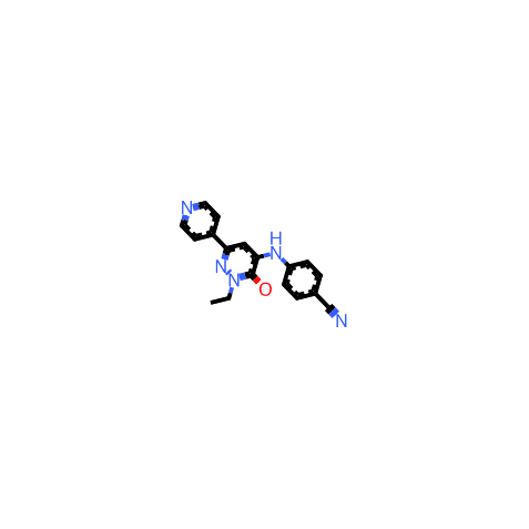 CCn1nc(-c2ccncc2)cc(Nc2ccc(C#N)cc2)c1=O